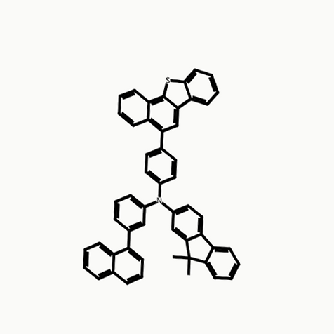 CC1(C)c2ccccc2-c2ccc(N(c3ccc(-c4cc5c6ccccc6sc5c5ccccc45)cc3)c3cccc(-c4cccc5ccccc45)c3)cc21